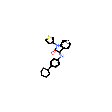 O=C1C(=Nc2ccc(C3CCCCC3)cc2)c2ccccc2N1c1ccsc1